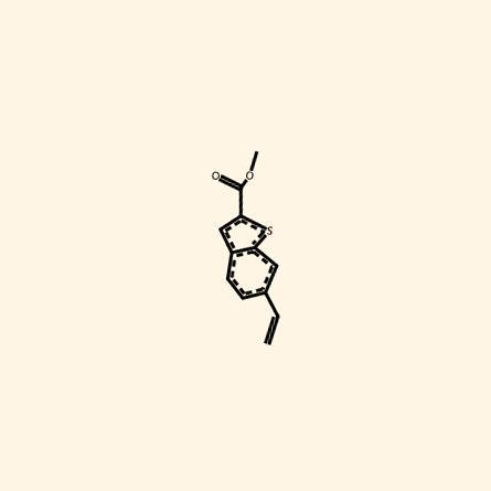 C=Cc1ccc2cc(C(=O)OC)sc2c1